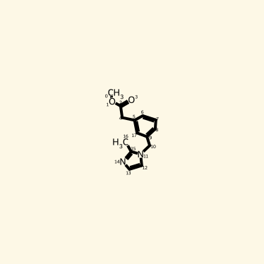 COC(=O)Cc1cccc(Cn2ccnc2C)c1